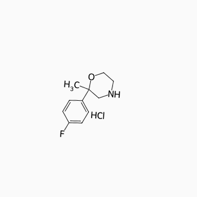 CC1(c2ccc(F)cc2)CNCCO1.Cl